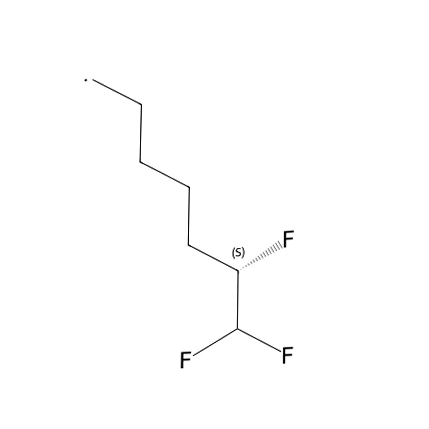 [CH2]CCCC[C@H](F)C(F)F